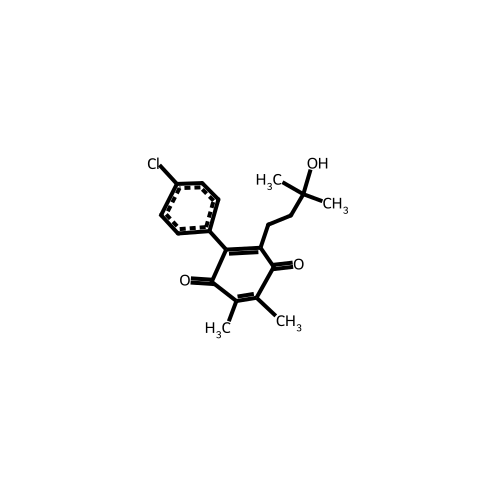 CC1=C(C)C(=O)C(c2ccc(Cl)cc2)=C(CCC(C)(C)O)C1=O